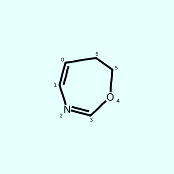 C1=CN=COCC1